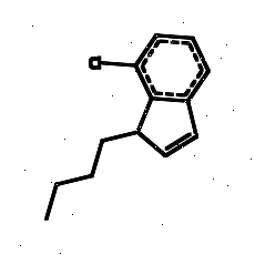 CCCCC1C=Cc2cccc(Cl)c21